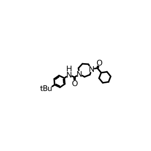 CC(C)(C)c1ccc(NC(=O)N2CCCN(C(=O)C3CCCCC3)CC2)cc1